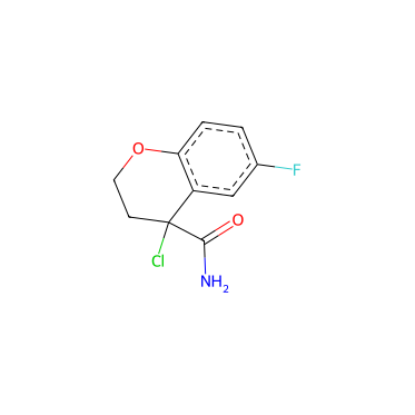 NC(=O)C1(Cl)CCOc2ccc(F)cc21